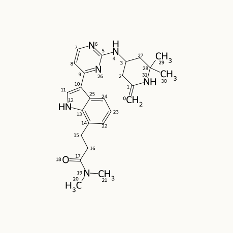 C=C1CC(Nc2nccc(-c3c[nH]c4c(CCC(=O)N(C)C)cccc34)n2)CC(C)(C)N1